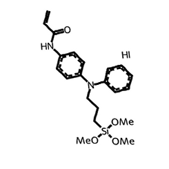 C=CC(=O)Nc1ccc(N(CCC[Si](OC)(OC)OC)c2ccccc2)cc1.I